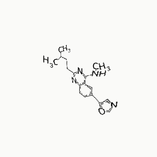 CNc1nc(CCC(C)C)nc2ccc(-c3cnco3)cc12